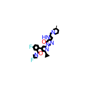 C[C@H]1CCCN(Cc2cc3ncn(-c4cc(-c5ccc(F)cc5C(=O)N5CC(F)C5)cc(C5CC5)n4)c(=O)c3[nH]2)C1